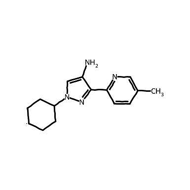 Cc1ccc(-c2nn(C3CC[CH]CC3)cc2N)nc1